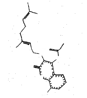 CC(=O)Oc1c(OC/C=C(\C)CCC=C(C)C)c(=O)oc2c(O)cccc12